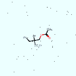 CCOC(=O)C(COC(=O)OC(C)=O)(CC(C)C)C(C)=O